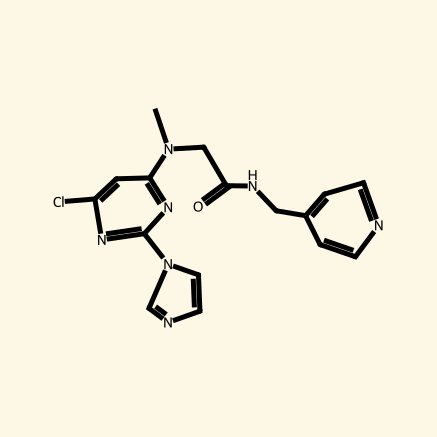 CN(CC(=O)NCc1ccncc1)c1cc(Cl)nc(-n2ccnc2)n1